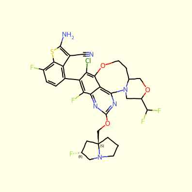 N#Cc1c(N)sc2c(F)ccc(-c3c(Cl)c4c5c(nc(OC[C@@]67CCCN6C[C@H](F)C7)nc5c3F)N3CC(C(F)F)OCC3CCO4)c12